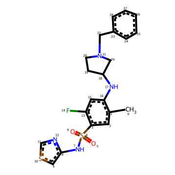 Cc1cc(S(=O)(=O)Nc2cscn2)c(F)cc1NC1CCN(Cc2ccccc2)C1